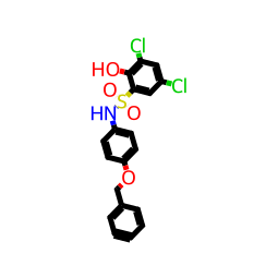 O=S(=O)(Nc1ccc(OCc2cc#ccc2)cc1)c1cc(Cl)cc(Cl)c1O